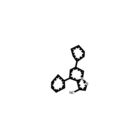 N#Cc1cnn2cc(-c3ccccc3)cc(-c3ccccc3)c12